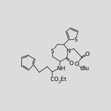 CCOC(=O)C(CCc1ccccc1)NC1CSCC(c2cccs2)N(CC(=O)OC(C)(C)C)C1=O